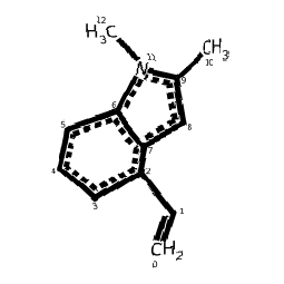 C=Cc1cccc2c1cc(C)n2C